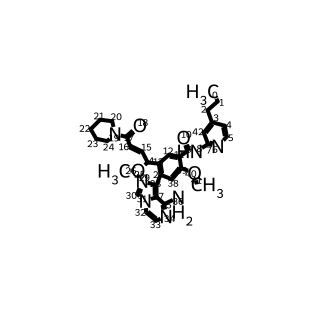 CCCc1ccnc(NC(=O)c2cc(C(/C=C/C(=O)N3CCCCC3)OC)c(-c3ncn4ccnc(N)c34)cc2OC)c1